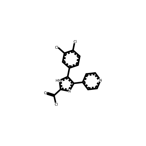 O=C(Cl)c1nc(-c2ccncc2)c(-c2ccc(Cl)c(Cl)c2)[nH]1